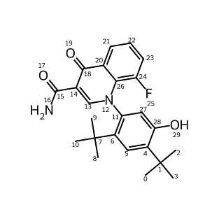 CC(C)(C)c1cc(C(C)(C)C)c(-n2cc(C(N)=O)c(=O)c3cccc(F)c32)cc1O